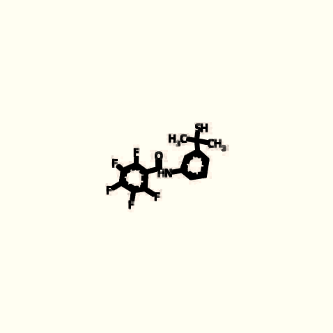 CC(C)(S)c1cccc(NC(=O)c2c(F)c(F)c(F)c(F)c2F)c1